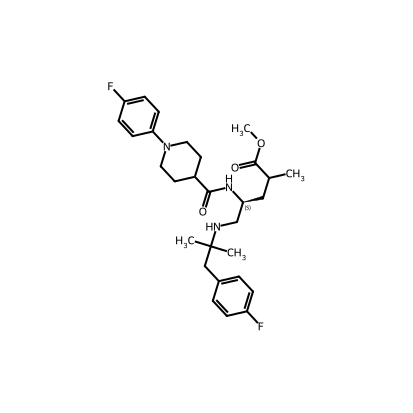 COC(=O)C(C)C[C@@H](CNC(C)(C)Cc1ccc(F)cc1)NC(=O)C1CCN(c2ccc(F)cc2)CC1